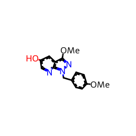 COc1ccc(Cn2nc(OC)c3cc(O)cnc32)cc1